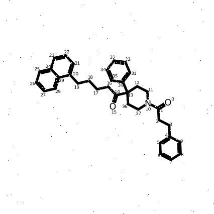 O=C(CCc1ccccc1)N1CCC(C(=O)CCCCc2cccc3ccccc23)(c2ccccc2)CC1